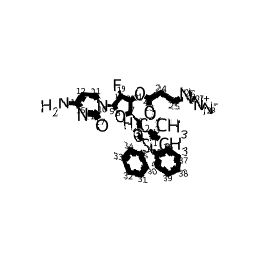 CC(C)(C)[Si](OC[C@H]1O[C@@H](n2ccc(N)nc2=O)[C@@H](F)C1OC(=O)CCN=[N+]=[N-])(c1ccccc1)c1ccccc1